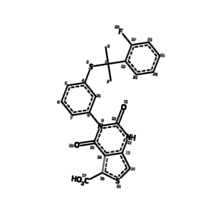 CC(C)(Sc1cccc(-n2c(=O)[nH]c3csc(C(=O)O)c3c2=O)c1)c1ccccc1F